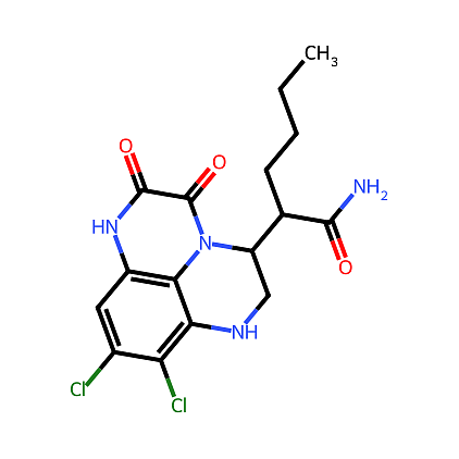 CCCCC(C(N)=O)C1CNc2c(Cl)c(Cl)cc3[nH]c(=O)c(=O)n1c23